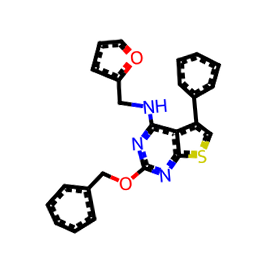 c1ccc(COc2nc(NCc3ccco3)c3c(-c4ccccc4)csc3n2)cc1